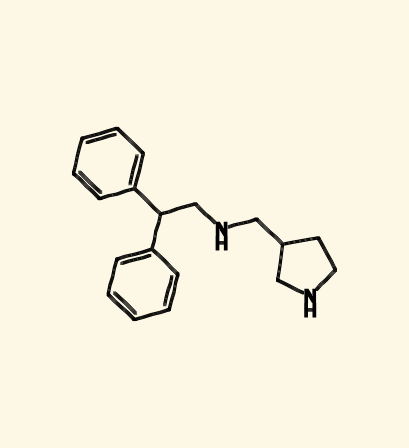 c1ccc(C(CNCC2CCNC2)c2ccccc2)cc1